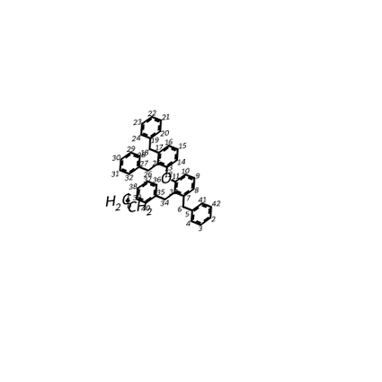 C=C.c1ccc(Cc2cccc(Oc3cccc(Cc4ccccc4)c3Cc3ccccc3)c2Cc2ccccc2)cc1